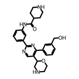 O=C(Nc1cccc(-c2ncc(C3CNCCO3)c(-c3cccc(CO)c3)n2)c1)C1CCNCC1